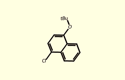 CC(C)(C)Oc1ccc(Cl)c2ccccc12